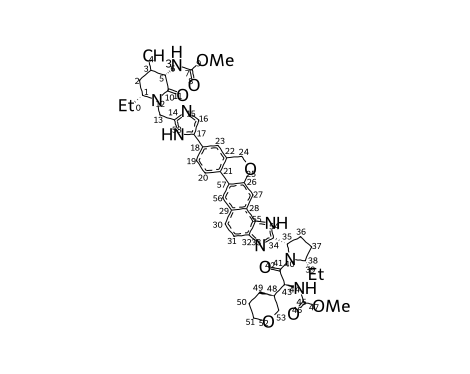 CC[C@@H]1CC(C)[C@H](NC(=O)OC)C(=O)N1Cc1ncc(-c2ccc3c(c2)COc2cc4c(ccc5nc([C@@H]6CC[C@H](CC)N6C(=O)[C@@H](NC(=O)OC)[C@@H]6CCCOC6)[nH]c54)cc2-3)[nH]1